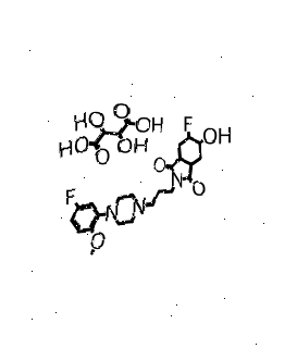 COc1ccc(F)cc1N1CCN(CCCN2C(=O)C3CC(O)C(F)CC3C2=O)CC1.O=C(O)C(O)C(O)C(=O)O